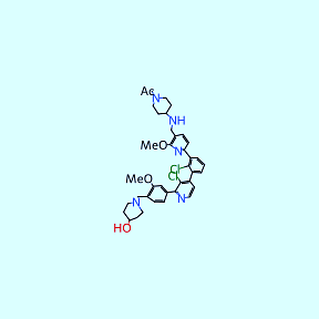 COc1cc(-c2nccc(-c3cccc(-c4ccc(CNC5CCN(C(C)=O)CC5)c(OC)n4)c3Cl)c2Cl)ccc1CN1CCC(O)CC1